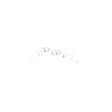 CC[C@H](NC(=O)OC)C(=O)N1CCC[C@H]1c1ncc(-c2ccc3cc(-c4ccc5nc([C@@H]6COCCN6C(=O)C(C)NC(=O)OC)[nH]c5c4)ccc3c2)[nH]1